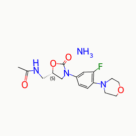 CC(=O)NC[C@H]1CN(c2ccc(N3CCOCC3)c(F)c2)C(=O)O1.N